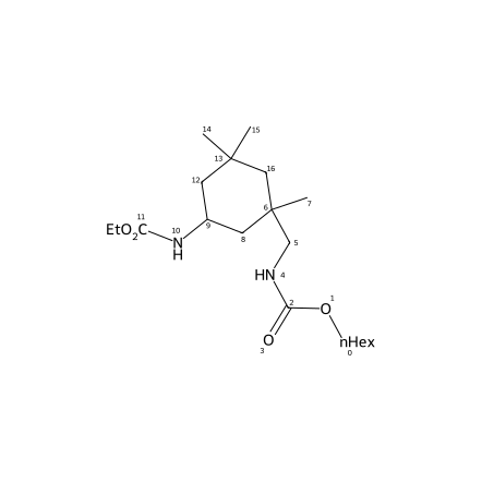 CCCCCCOC(=O)NCC1(C)CC(NC(=O)OCC)CC(C)(C)C1